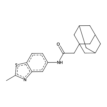 Cc1nc2cc(NC(=O)CC34CC5CC(CC(C5)C3)C4)ccc2s1